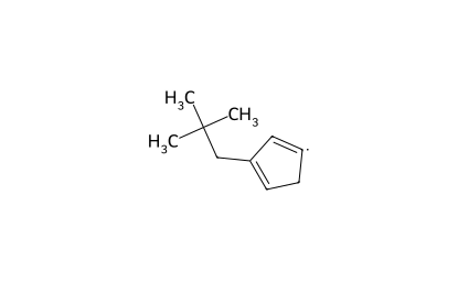 CC(C)(C)CC1=CC[C]=C1